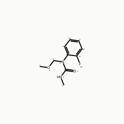 CNC(=O)N(COC)c1ccccc1F